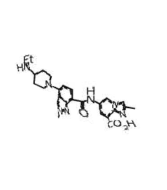 CCNC1CCN(c2ccc(C(=O)Nc3cc(C(=O)O)c4nc(C)cn4c3)c3nn(C)cc23)CC1